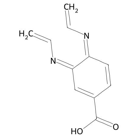 C=C/N=C1/C=CC(C(=O)O)=C/C1=N/C=C